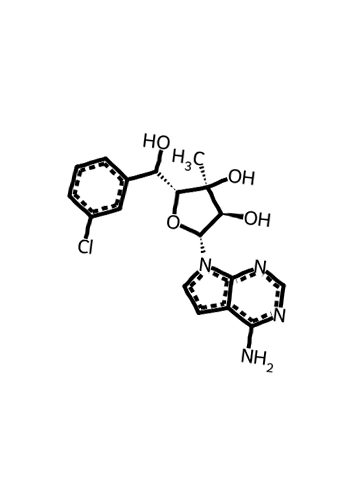 C[C@@]1(O)[C@@H](C(O)c2cccc(Cl)c2)O[C@@H](n2ccc3c(N)ncnc32)[C@@H]1O